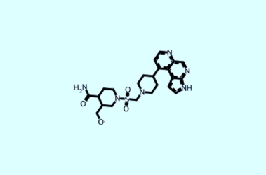 NC(=O)C1CCN(S(=O)(=O)CN2CCC(c3ccnc4cnc5[nH]ccc5c34)CC2)CC1C[O]